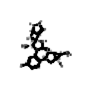 C[C@H]1N(c2cc(F)ccc2N2CC3C(N)[C@H]3C2)C(=O)O[C@@]12Oc1nocc12